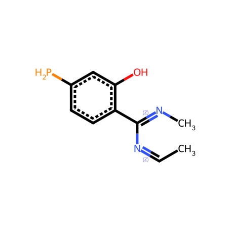 C/C=N\C(=N/C)c1ccc(P)cc1O